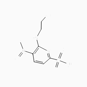 CCCNc1nc(S(C)(=O)=O)ccc1[N+](=O)[O-]